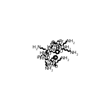 CC(C)C[C@H](NC(=O)[C@H](CCCCN)NC(=O)[C@H](Cc1ccccc1)NC(=O)[C@H](CC(C)C)NC(=O)[C@H](CC(C)C)NC(=O)[C@H](CCCCN)NC(=O)[C@@H](N)CCCCN)C(=O)N[C@@H](CCCCN)C(=O)N[C@@H](Cc1ccccc1)C(=O)N[C@@H](CCCCN)C(N)=O